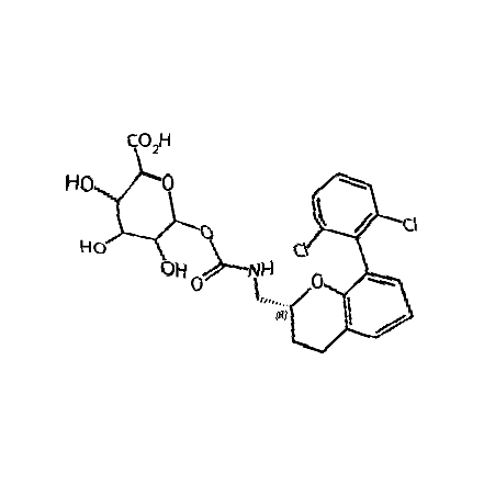 O=C(NC[C@H]1CCc2cccc(-c3c(Cl)cccc3Cl)c2O1)OC1OC(C(=O)O)C(O)C(O)C1O